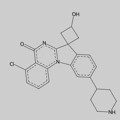 O=c1nc2n(c3cccc(Cl)c13)-c1cc(C3CCNCC3)ccc1C21CC(O)C1